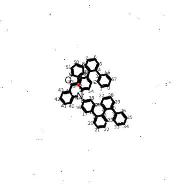 c1ccc(-c2ccccc2-c2ccc(N(c3ccc(-c4ccccc4-c4ccccc4-c4ccccc4)cc3)c3ccccc3-c3cc4ccccc4o3)cc2)cc1